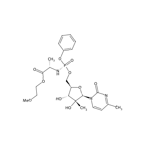 COCCOC(=O)[C@H](C)N[P@](=O)(OC[C@H]1O[C@@H](n2ccc(C)nc2=O)[C@](C)(O)[C@@H]1O)Oc1ccccc1